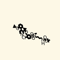 CCN(CCCCNC(=O)OC(C)(C)C)S(=O)(=O)c1ccc(Cl)c(COC2(c3cnccc3-c3ccccc3OC3CC3)CC2)c1